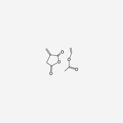 C=C1CC(=O)OC1=O.C=COC(C)=O